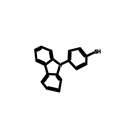 Sc1ccc(-n2c3ccccc3c3ccccc32)cc1